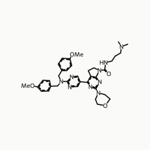 COc1ccc(CN(Cc2ccc(OC)cc2)c2ncc(-c3nc(N4CCOCC4)nc4c3CCN4C(=O)NCCCN(C)C)cn2)cc1